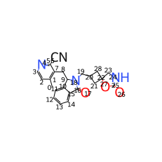 Cc1ccnc(C#N)c1CC1c2ccccc2C(=O)N1CC1CC2(CNC(=O)O2)C1